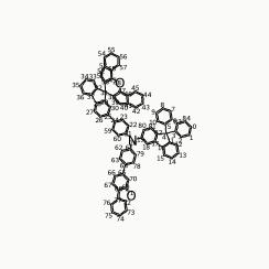 c1ccc(C2(c3ccccc3)c3ccccc3-c3cc(N(c4ccc(-c5ccc6c(c5)C5(c7ccccc7-6)c6ccc7ccccc7c6Oc6c5ccc5ccccc65)cc4)c4ccc(-c5ccc6c(c5)oc5ccccc56)cc4)ccc32)cc1